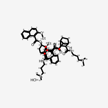 CCOc1ccc2ccccc2c1C(=O)OC1CC2CCC1C(C(=O)NC(=O)C1C3CCC(CC3OC(=O)c3c(OCC)ccc4ccccc34)C1C(=O)NCCCN(C)C)C2C(=O)NCCCN(C)C.Cl